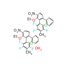 CCOc1c([N+](=O)[O-])ccc(-c2ccccc2)c1-c1c(F)c(F)c(C)c(F)c1Cl.CCOc1c([N+](=O)[O-])ccc(-c2ccccc2)c1-c1c(F)c(F)c(C)c(F)c1Cl.O